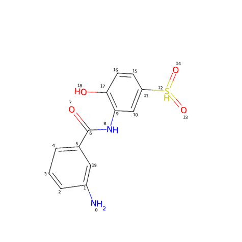 Nc1cccc(C(=O)Nc2cc([SH](=O)=O)ccc2O)c1